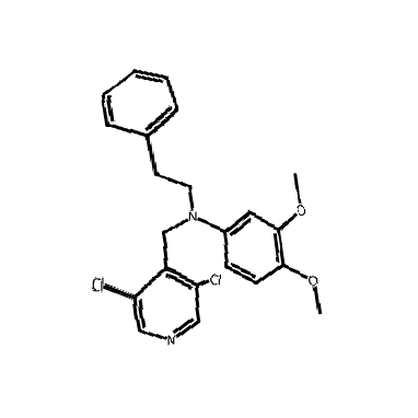 COc1ccc(N(CCc2ccccc2)Cc2c(Cl)cncc2Cl)cc1OC